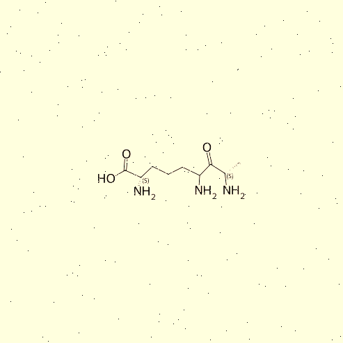 C[C@H](N)C(=O)C(N)CCC[C@H](N)C(=O)O